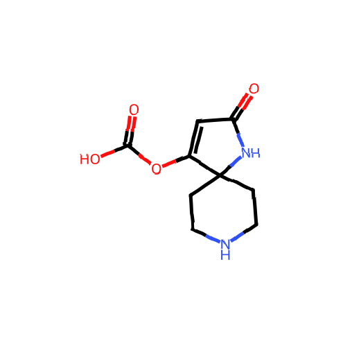 O=C1C=C(OC(=O)O)C2(CCNCC2)N1